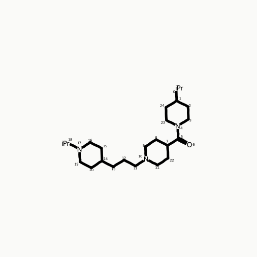 CC(C)C1CCN(C(=O)C2CCN(CCCC3CCN(C(C)C)CC3)CC2)CC1